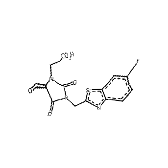 O=C(O)CN1C(=O)C(=O)N(Cc2nc3ccc(F)cc3s2)C1=O